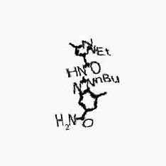 CCCCn1c(NC(=O)c2cc(C)nn2CC)nc2cc(C(N)=O)cc(C)c21